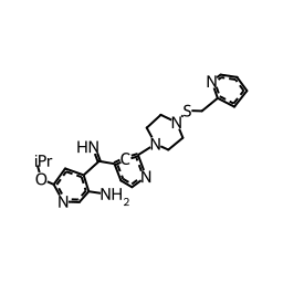 CC(C)Oc1cc(C(=N)c2ccnc(N3CCN(SCc4ccccn4)CC3)c2)c(N)cn1